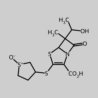 CC(O)C1(C)C(=O)N2C(C(=O)O)=C(SC3CC[S+]([O-])C3)SC21